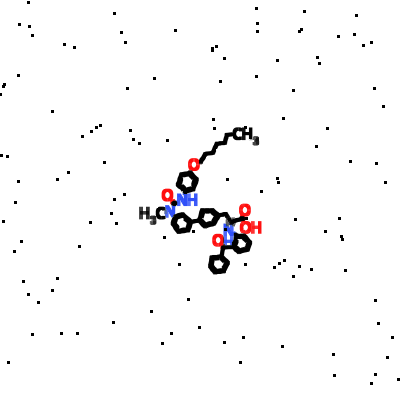 CCCCCCCOc1ccc(NC(=O)N(C)c2cccc(-c3ccc(C[C@H](Nc4ccccc4C(=O)c4ccccc4)C(=O)O)cc3)c2)cc1